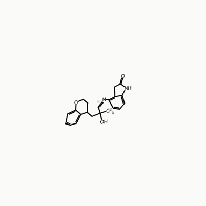 O=C1Cc2c(/N=C\C(O)(CC3CCOc4ccccc43)C(F)(F)F)cccc2N1